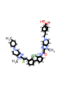 CC1CCC(N2CCc3c(nc(/C(F)=C/c4cccc(-c5cccc(NC(=O)c6nc7c(n6C)CCN(CCC68CCC(C(=O)O)(CC6)C8)C7)c5Cl)c4Cl)n3C)C2)CC1